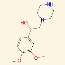 COc1ccc(C(O)CN2CCNCC2)cc1OC